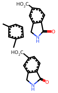 Cc1cccc(C)c1.O=C(O)c1ccc2c(c1)CNC2=O.O=C(O)c1ccc2c(c1)CNC2=O